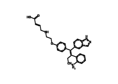 CCC(=C(c1ccc(OCCNCC=CC(=O)O)cc1)c1ccc2[nH]ncc2c1)c1ccccc1C